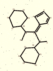 CC(C(=C1[C]=CC=C1)C(C)C1CCCCC1)C1CCCCC1